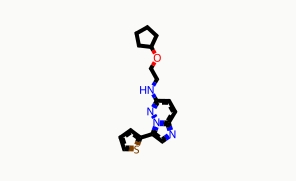 c1csc(-c2cnc3ccc(NCCOC4CCCC4)nn23)c1